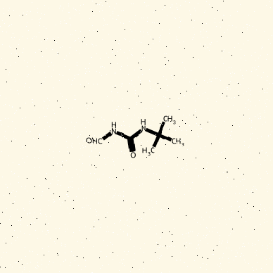 CC(C)(C)NC(=O)NC=O